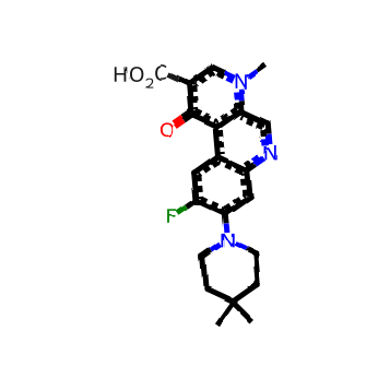 Cn1cc(C(=O)O)c(=O)c2c3cc(F)c(N4CCC(C)(C)CC4)cc3ncc21